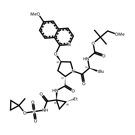 CC[C@@H]1C[C@]1(NC(=O)[C@@H]1C[C@@H](Oc2nccc3cc(OC)ccc23)CN1C(=O)[C@@H](NC(=O)OC(C)(C)COC)C(C)(C)C)C(=O)NS(=O)(=O)OC1(C)CC1